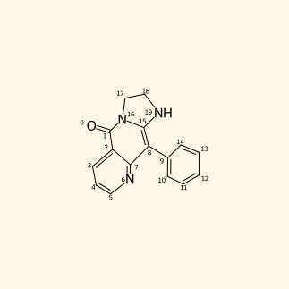 O=c1c2cccnc2c(-c2ccccc2)c2n1CCN2